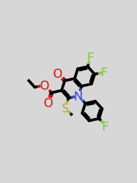 CCOC(=O)c1c(SC)n(-c2ccc(F)cc2)c2cc(F)c(F)cc2c1=O